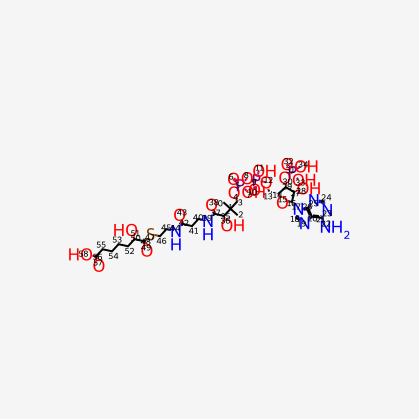 CC(C)(COP(=O)(O)OP(=O)(O)OC[C@H]1O[C@@H](n2cnc3c(N)ncnc32)[C@H](O)[C@@H]1OP(=O)(O)O)[C@@H](O)C(=O)NCCC(=O)NCCSC(=O)C(O)CCCCC(=O)O